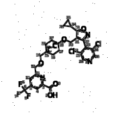 O=C(O)c1cc(C(F)(F)F)cc(COCC23CCC(OCc4c(-c5c(Cl)cncc5Cl)noc4C4CC4)(CC2)CC3)n1